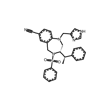 C[C@H](c1ccccc1)[C@H]1CN(Cc2c[nH]cn2)c2ccc(C#N)cc2CN1S(=O)(=O)c1ccccc1